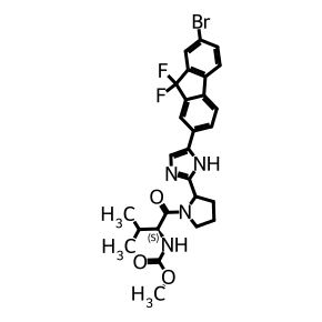 COC(=O)N[C@H](C(=O)N1CCCC1c1ncc(-c2ccc3c(c2)C(F)(F)c2cc(Br)ccc2-3)[nH]1)C(C)C